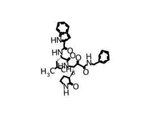 CC(C)C[C@H](NC(=O)c1cc2ccccc2[nH]1)C(=O)N[C@@H](C[C@@H]1CCNC1=O)C(=O)C(=O)NCc1ccccc1